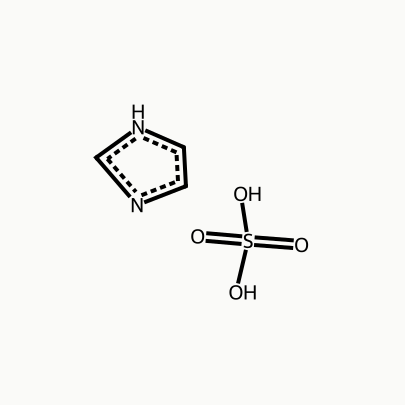 O=S(=O)(O)O.c1c[nH]cn1